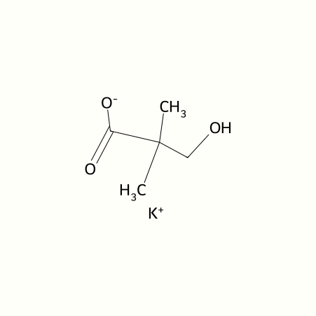 CC(C)(CO)C(=O)[O-].[K+]